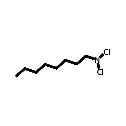 CCCCCCCCN(Cl)Cl